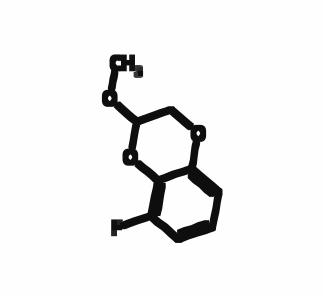 COC1COc2cccc(F)c2O1